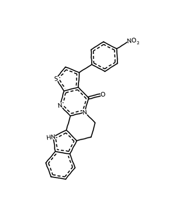 O=c1c2c(-c3ccc([N+](=O)[O-])cc3)csc2nc2n1CCc1c-2[nH]c2ccccc12